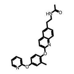 CC(=O)NCCc1ccc2nc(Oc3ccc(Oc4ccccn4)cc3C)ccc2c1